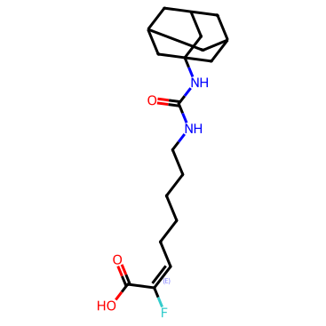 O=C(NCCCCC/C=C(/F)C(=O)O)NC12CC3CC(CC(C3)C1)C2